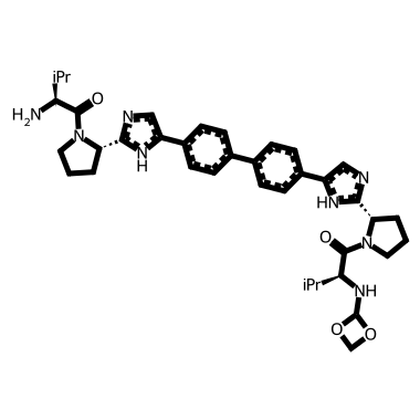 CC(C)[C@H](N)C(=O)N1CCC[C@H]1c1ncc(-c2ccc(-c3ccc(-c4cnc([C@@H]5CCCN5C(=O)[C@@H](NC5OCO5)C(C)C)[nH]4)cc3)cc2)[nH]1